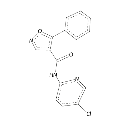 O=C(Nc1ccc(Cl)cn1)c1cnoc1-c1ccccc1